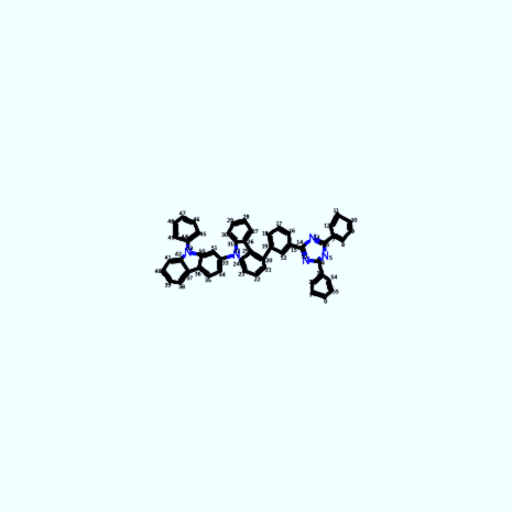 c1ccc(-c2nc(-c3ccccc3)nc(-c3cccc(-c4cccc5c4c4ccccc4n5-c4ccc5c6ccccc6n(-c6ccccc6)c5c4)c3)n2)cc1